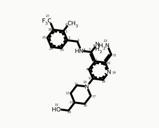 Cc1c(CN/C(N)=c2\cc(N3CCC(CO)CC3)cn\c2=C\N)cccc1C(F)(F)F